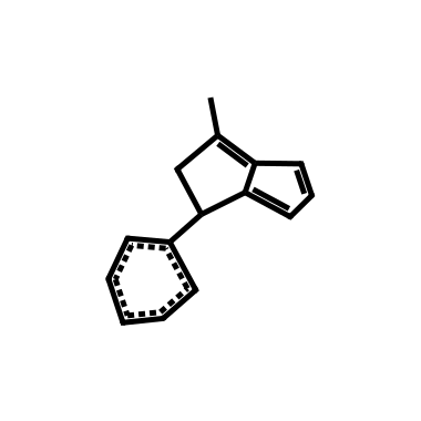 CC1=C2C=CC=C2C(c2ccccc2)C1